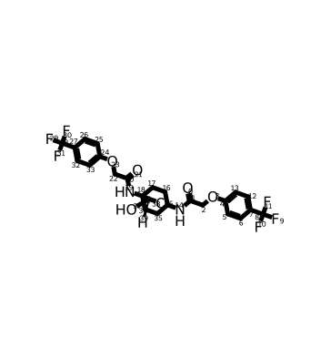 O=C(COc1ccc(C(F)(F)F)cc1)NC12CCC(NC(=O)COc3ccc(C(F)(F)F)cc3)(CC1)[C@@H](O)C2